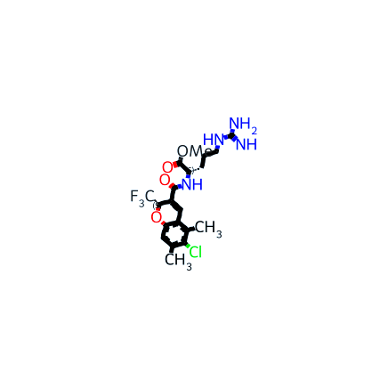 COC(=O)[C@H](CCCNC(=N)N)NC(=O)C1=Cc2c(cc(C)c(Cl)c2C)O[C@@H]1C(F)(F)F